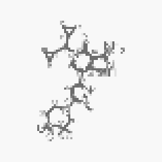 Cn1nc(-c2cn(C(C3CC3)C3CC3)c(=O)c3c(N)n[nH]c23)cc1N1CCS(=O)(=O)C(C)(C)C1